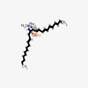 CCCCCCCCCCCCC(CCCCCCCCCCCC)(C[N+](C)(C)C)O[PH-]